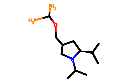 CC(C)[C@@H]1CC(COC(P)P)CN1C(C)C